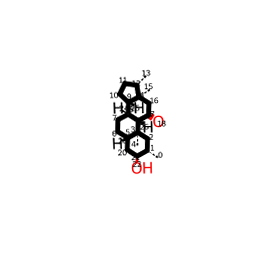 C[C@H]1C[C@@]2(C)[C@@H](CC[C@H]3[C@@H]4CC[C@H](C)[C@@]4(C)CC(=O)[C@@H]32)C[C@@H]1O